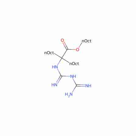 CCCCCCCCOC(=O)C(CCCCCCCC)(CCCCCCCC)NC(=N)NC(=N)N